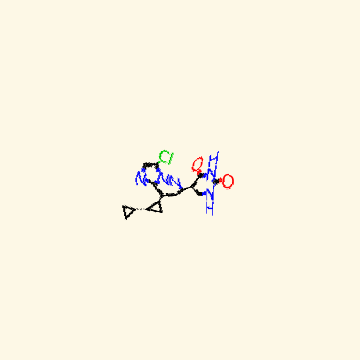 O=c1[nH]cc(-c2cc([C@H]3C[C@@H]3C3CC3)c3ncc(Cl)n3n2)c(=O)[nH]1